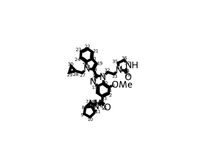 COc1cc(C(=O)N2CC3CCC2[C@@H]3N)cc2nc(-c3cc4ccccc4n3CC3CC3)n(CCN3CCNC3=O)c12